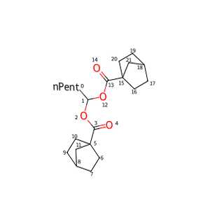 CCCCCC(OC(=O)C12CCC(CC1)C2)OC(=O)C12CCC(CC1)C2